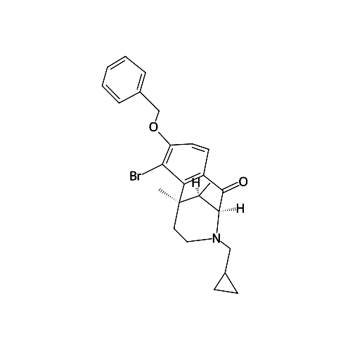 C[C@H]1[C@H]2C(=O)c3ccc(OCc4ccccc4)c(Br)c3[C@]1(C)CCN2CC1CC1